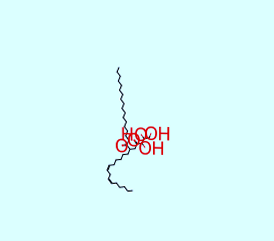 CCCCC/C=C\C/C=C\CCCCCC(CC(=O)C(O)C(O)CO)C(=O)CCCCCCCCCCCCCCCCC